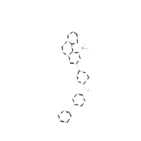 CC1(C)c2cccc3ccc4cc(-c5ccc(Nc6ccc(-c7ccccc7)cc6)cc5)cc1c4c23